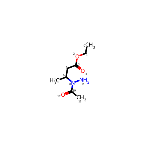 CCOC(=O)CC(C)N(N)C(C)=O